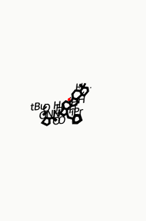 CC(C)[C@]1(Cc2ccccc2)C(=O)[C@@H](NC(=O)C2(NC(=O)OC(C)(C)C)CCCC2)[C@H]2CC[C@@]3(C)[C@@H](CC[C@H]4[C@@]5(C)CC[CH]C(C)(C)[C@@H]5CC[C@@]43C)[C@@H]21